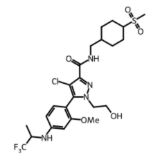 COc1cc(NC(C)C(F)(F)F)ccc1-c1c(Cl)c(C(=O)NCC2CCC(S(C)(=O)=O)CC2)nn1CCO